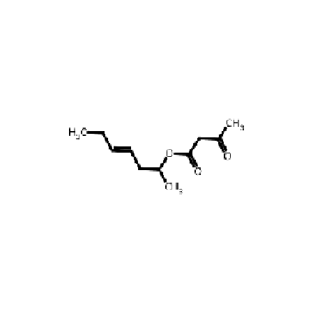 CCC=CCC(C)OC(=O)CC(C)=O